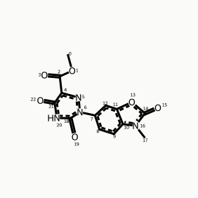 COC(=O)c1nn(-c2ccc3c(c2)oc(=O)n3C)c(=O)[nH]c1=O